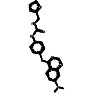 CN(C)c1ccc2c(Oc3ccc(NC(=O)NCc4nccs4)cc3)ncnc2c1